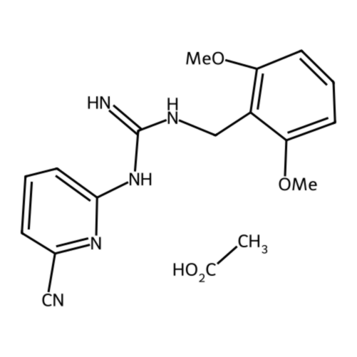 CC(=O)O.COc1cccc(OC)c1CNC(=N)Nc1cccc(C#N)n1